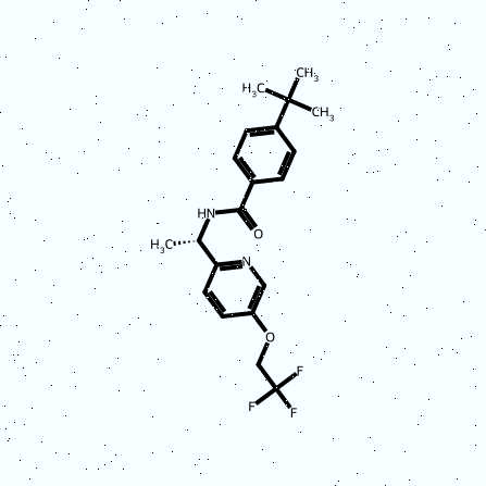 C[C@H](NC(=O)c1ccc(C(C)(C)C)cc1)c1ccc(OCC(F)(F)F)cn1